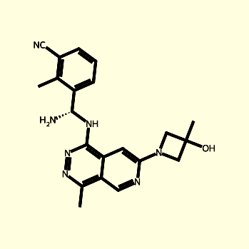 Cc1c(C#N)cccc1[C@@H](N)Nc1nnc(C)c2cnc(N3CC(C)(O)C3)cc12